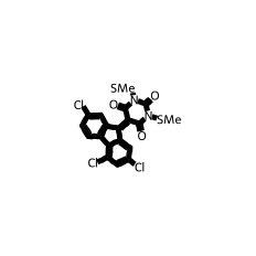 CSN1C(=O)C(=C2c3cc(Cl)ccc3-c3c(Cl)cc(Cl)cc32)C(=O)N(SC)C1=O